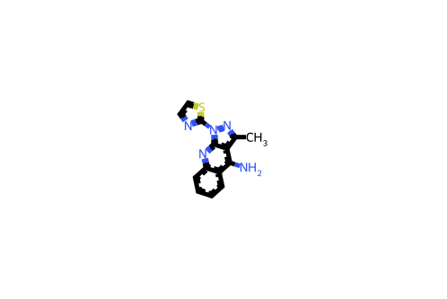 Cc1nn(-c2nccs2)c2nc3ccccc3c(N)c12